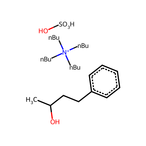 CC(O)CCc1ccccc1.CCCC[N+](CCCC)(CCCC)CCCC.O=S(=O)(O)O